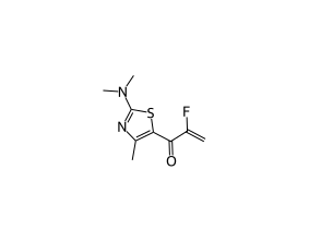 C=C(F)C(=O)c1sc(N(C)C)nc1C